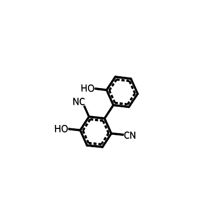 N#Cc1ccc(O)c(C#N)c1-c1ccccc1O